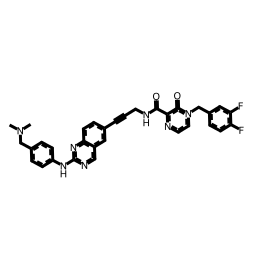 CN(C)Cc1ccc(Nc2ncc3cc(C#CCNC(=O)c4nccn(Cc5ccc(F)c(F)c5)c4=O)ccc3n2)cc1